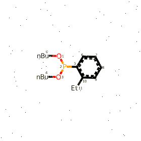 CCCCOP(OCCCC)c1ccccc1CC